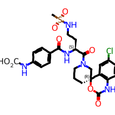 CS(=O)(=O)NCC[C@H](NC(=O)c1ccc(NC(=O)O)cc1)C(=O)N1CCC[C@@]2(C1)OC(=O)Nc1ccc(Cl)cc12